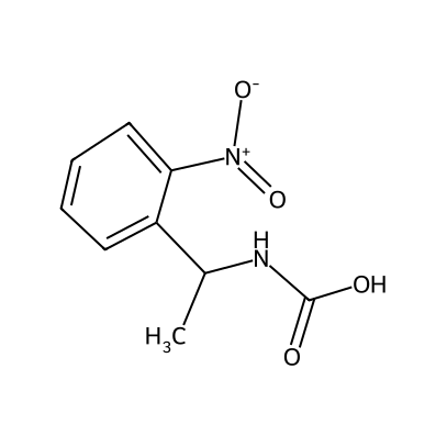 CC(NC(=O)O)c1ccccc1[N+](=O)[O-]